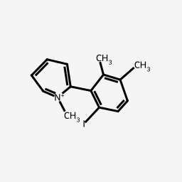 Cc1ccc(I)c(-c2cccc[n+]2C)c1C